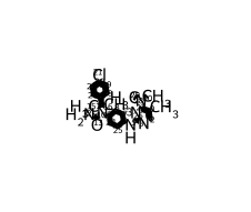 Cc1cnc(N[C@H]2CC[C@@H](N(C(N)=O)C(C)(C)c3ccc(Cl)cc3)CC2)nc1N(C)C